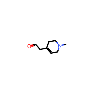 CN1CC=C(CC=O)CC1